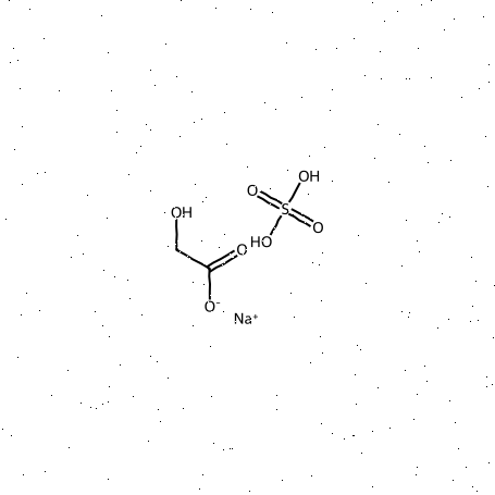 O=C([O-])CO.O=S(=O)(O)O.[Na+]